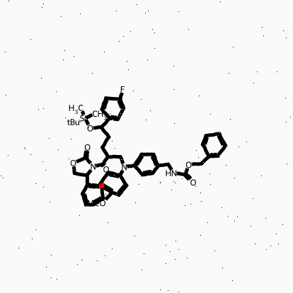 COc1ccc(N(CC(CCC(O[Si](C)(C)C(C)(C)C)c2ccc(F)cc2)C(=O)N2C(=O)OCC2c2ccccc2)c2ccc(CNC(=O)OCc3ccccc3)cc2)cc1